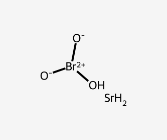 [O-][Br+2]([O-])O.[SrH2]